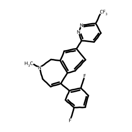 CN1CC=C(c2cc(F)ccc2F)c2ccc(-c3ccc(C(F)(F)F)nn3)cc2C1